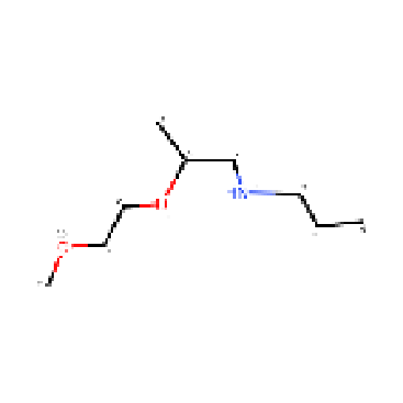 CCCNCC(C)OCCOC